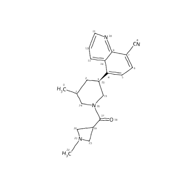 CC1C[C@@H](c2ccc(C#N)c3ncccc23)CN(C(=O)C2CN(C)C2)C1